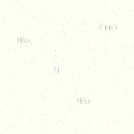 CC(C)(C)c1cc(C=O)cc(C(C)(C)C)n1